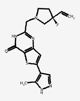 C=C[C@@]1(F)CCN(Cc2nc3cc(-c4cn[nH]c4C)sc3c(=O)[nH]2)C1